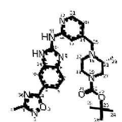 Cc1noc(-c2ccc3nc(Nc4cc(CN5CCN(C(=O)OC(C)(C)C)C[C@H]5C)ccn4)[nH]c3c2)n1